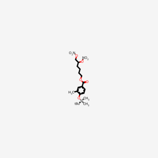 Cc1cc(C(=O)OCCCCC(CO[N+](=O)[O-])O[N+](=O)[O-])ccc1O[Si](C)(C)C(C)(C)C